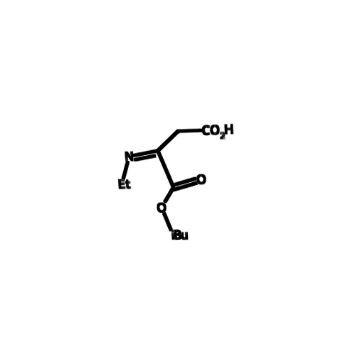 CCN=C(CC(=O)O)C(=O)OC(C)CC